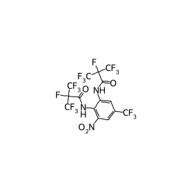 O=C(Nc1cc(C(F)(F)F)cc([N+](=O)[O-])c1NC(=O)C(F)(C(F)(F)F)C(F)(F)F)C(F)(C(F)(F)F)C(F)(F)F